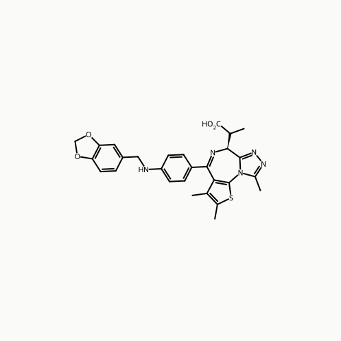 Cc1sc2c(c1C)C(c1ccc(NCc3ccc4c(c3)OCO4)cc1)=N[C@@H](C(C)C(=O)O)c1nnc(C)n1-2